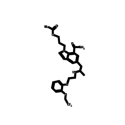 CC(Cc1cc(C(N)=O)c2c(ccn2CCCOC(=O)C(C)(C)C)c1)NCCOc1ccccc1OCC(F)(F)F